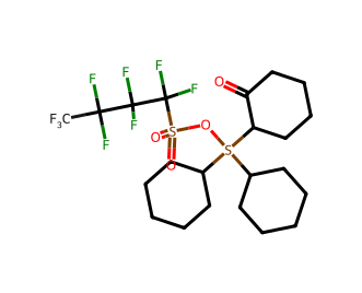 O=C1CCCCC1S(OS(=O)(=O)C(F)(F)C(F)(F)C(F)(F)C(F)(F)F)(C1CCCCC1)C1CCCCC1